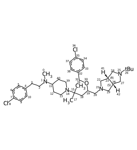 CN(CCc1ccc(Cl)cc1)C1CCN(C(C)(C)CC(CN2C[C@@H]3CN(C(C)(C)C)C[C@@H]3C2)OCc2ccc(Cl)cc2)CC1